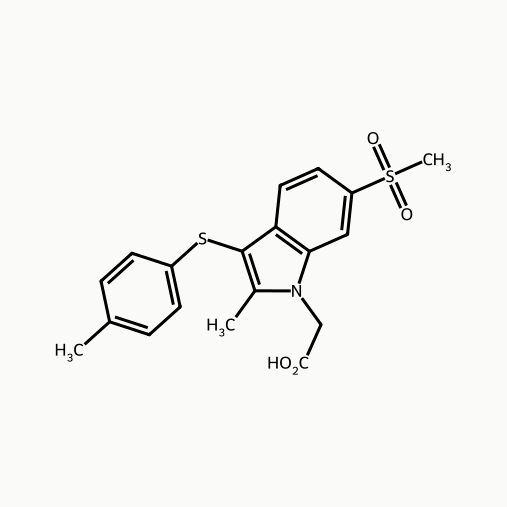 Cc1ccc(Sc2c(C)n(CC(=O)O)c3cc(S(C)(=O)=O)ccc23)cc1